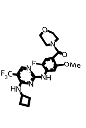 COc1cc(Nc2ncc(C(F)(F)F)c(NC3CCC3)n2)c(F)cc1C(=O)N1CCOCC1